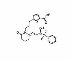 O=C(O)c1ccc(CCCN2C(=O)CCC[C@@H]2C=C[C@@H](O)C(F)(F)c2ccccc2)s1